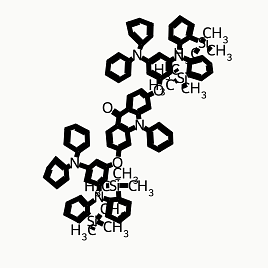 C[Si](C)(C)c1ccccc1N(c1cc(Oc2ccc3c(=O)c4ccc(Oc5cc(N(c6ccccc6)c6ccccc6)cc(N(c6ccccc6[Si](C)(C)C)c6ccccc6[Si](C)(C)C)c5)cc4n(-c4ccccc4)c3c2)cc(N(c2ccccc2)c2ccccc2)c1)c1ccccc1[Si](C)(C)C